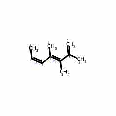 C=C(C)/C(C)=C(C)/C=C\C